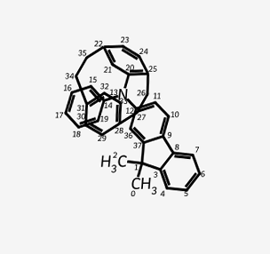 CC1(C)c2ccccc2-c2ccc(N(c3ccccc3)c3cc4ccc3CCc3ccc(cc3)CC4)cc21